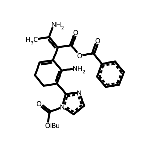 CC(N)=C(C(=O)OC(=O)c1ccccc1)C1=CCCC(c2nccn2C(=O)OCC(C)C)=C1N